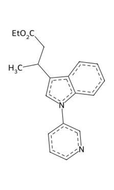 CCOC(=O)CC(C)c1cn(-c2cccnc2)c2ccccc12